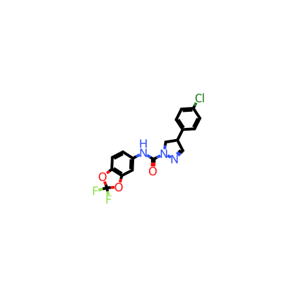 O=C(Nc1ccc2c(c1)OC(F)(F)O2)N1CC(c2ccc(Cl)cc2)C=N1